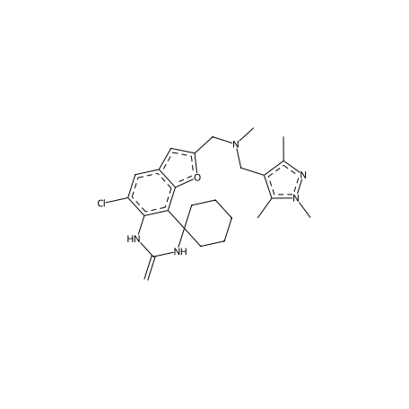 C=C1Nc2c(Cl)cc3cc(CN(C)Cc4c(C)nn(C)c4C)oc3c2C2(CCCCC2)N1